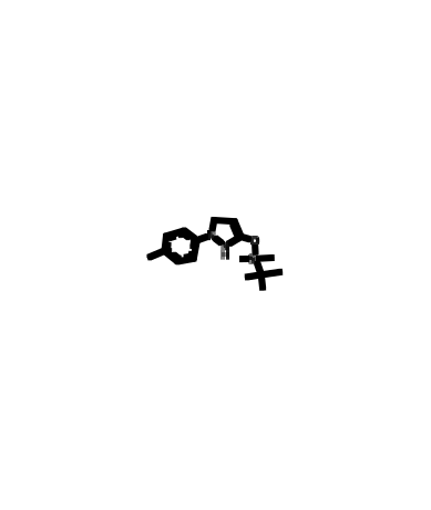 Cc1ccc(N2CC=C(O[Si](C)(C)C(C)(C)C)N2)cc1